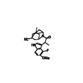 COc1ccc2[nH]cc(C(C)C(=O)N3C4CC5(C)CC3CC(C#N)(C4)C5)c2c1F